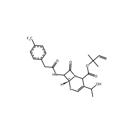 C=CC(C)(C)OC(=O)C1C(C(C)O)=CS[C@@H]2C(NC(=O)Cc3ccc(C(F)(F)F)cc3)C(=O)N12